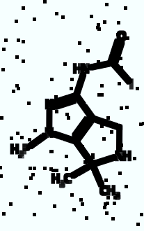 CC1(C)NCc2c(NC(=O)I)nn(P)c21